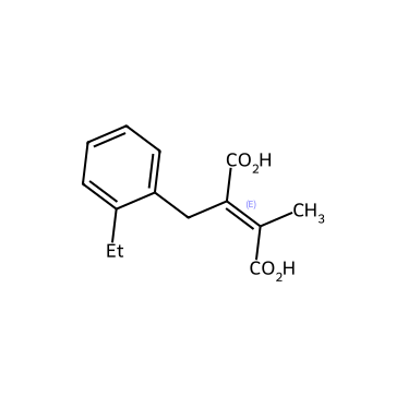 CCc1ccccc1C/C(C(=O)O)=C(/C)C(=O)O